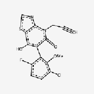 C#CCn1c(=O)c(-c2c(F)ccc(Cl)c2OC)c(O)c2scnc21